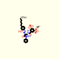 CCCCCCCCCCCCCCCc1ccc(N=Nc2c(NC(=O)c3cc(S(=O)(=O)[O-])cc(S(=O)(=O)[O-])c3)[nH]n(-c3ccccc3)c2=O)c(O)c1.[K+].[K+]